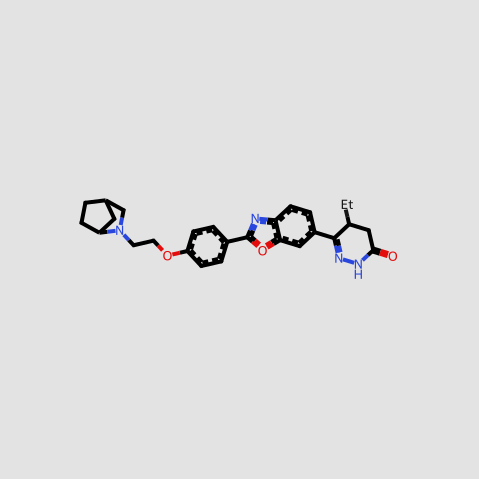 CCC1CC(=O)NN=C1c1ccc2nc(-c3ccc(OCCN4CC5CCC4C5)cc3)oc2c1